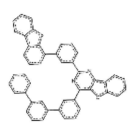 c1ccc(-c2cccc(-c3cccc(-c4nc(-c5cccc(-c6cccc7c6sc6ccccc67)c5)nc5c4oc4ccccc45)c3)c2)cc1